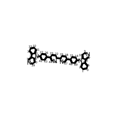 c1ccc2c(c1)c1cnccc1n2-c1ccc(-c2ccc(-c3ccc(-c4ccc(-n5c6ccccc6c6cnccc65)cc4)cn3)nc2)cc1